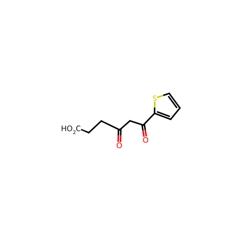 O=C(O)CCC(=O)CC(=O)c1cccs1